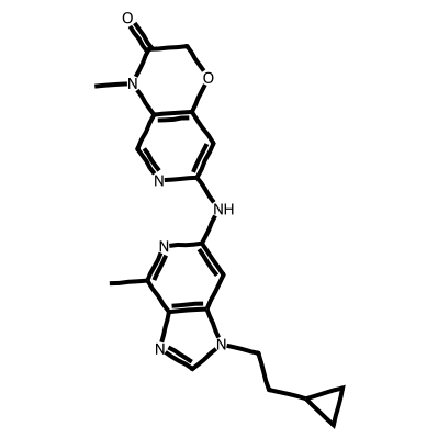 Cc1nc(Nc2cc3c(cn2)N(C)C(=O)CO3)cc2c1ncn2CCC1CC1